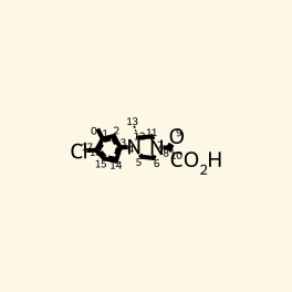 Cc1cc(N2CCN(C(=O)C(=O)O)C[C@H]2C)ccc1Cl